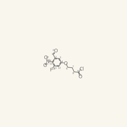 O=Cc1cc(OCCCC(=O)Cl)cc(F)c1[N+](=O)[O-]